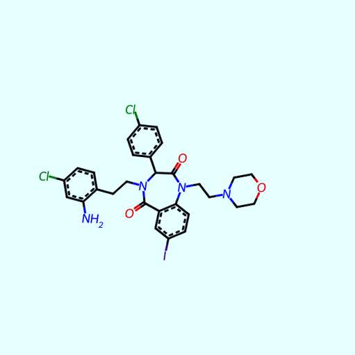 Nc1cc(Cl)ccc1CCN1C(=O)c2cc(I)ccc2N(CCN2CCOCC2)C(=O)C1c1ccc(Cl)cc1